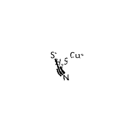 N#C[S-].S.[Cu+]